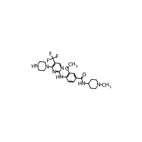 COc1cc(C(=O)NC2CCN(C)CC2)ccc1Nc1ncc(C(F)(F)F)c(N2CCNCC2)n1